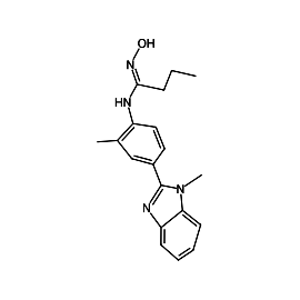 CCC/C(=N\O)Nc1ccc(-c2nc3ccccc3n2C)cc1C